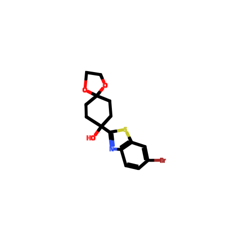 OC1(c2nc3ccc(Br)cc3s2)CCC2(CC1)OCCO2